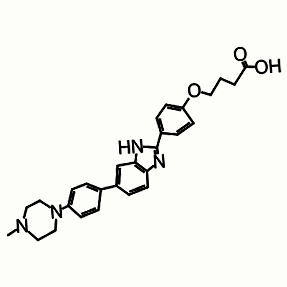 CN1CCN(c2ccc(-c3ccc4nc(-c5ccc(OCCCC(=O)O)cc5)[nH]c4c3)cc2)CC1